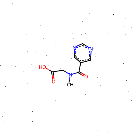 CN(CC(=O)O)C(=O)c1cncnc1